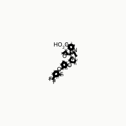 O=C(O)c1ccc2nc(CN3CCC(Oc4cccc(COc5ccc(C(F)F)cc5F)c4)CC3)n(C[C@@H]3CCO3)c2c1